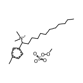 CCCCCCCCCCCC(c1ccc(C)cc1)[N+](C)(C)C.COOS(=O)(=O)[O-]